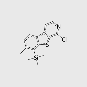 Cc1ccc2c(sc3c(Cl)nccc32)c1[Si](C)(C)C